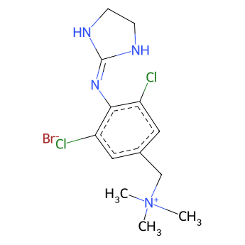 C[N+](C)(C)Cc1cc(Cl)c(N=C2NCCN2)c(Cl)c1.[Br-]